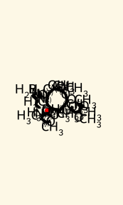 Bn1cc(CCN(C)[C@H]2C[C@@H](C)O[C@@H](O[C@@H]3[C@H](C)[C@@H](O[C@H]4C[C@@](C)(OC)C(=O)[C@H](C)O4)[C@@H](C)C(=O)O[C@H](CC)[C@@](C)(O)[C@H](O)[C@@H](C)C(=O)[C@H](C)C[C@@]3(C)OC)[C@@H]2O)nn1